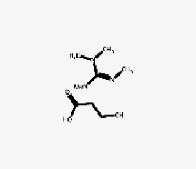 CCCC(=O)O.CN=C(NC)N(C)C